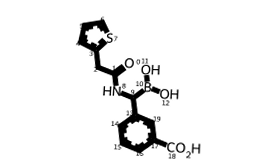 O=C(Cc1cccs1)NC(B(O)O)c1cccc(C(=O)O)c1